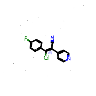 N#C/C(=C(/Cl)c1ccc(F)cc1)c1ccncc1